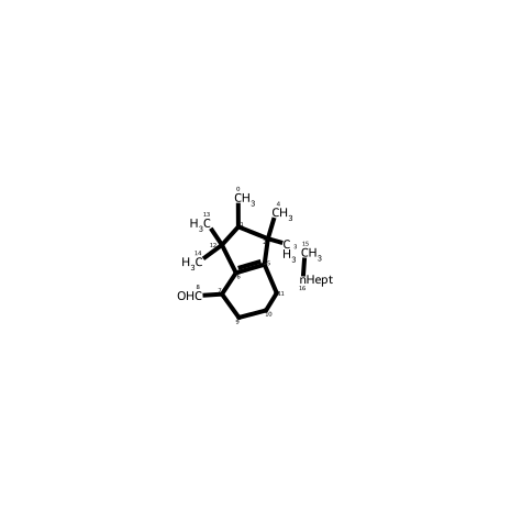 CC1C(C)(C)C2=C(C(C=O)CCC2)C1(C)C.CCCCCCCC